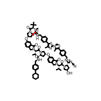 CC(=O)N(C)[C@H](C(=O)N1C[C@H](Oc2ccc3c(c2)C(=O)N([C@H](C(=O)N2C[C@H](Oc4ccc5c(c4)C(=O)N([C@H](C(=O)N4C[C@H](O)C[C@H]4/C(=N\C#N)NCc4ccc(-c6scnc6C)cc4)C(C)C)C5)C[C@H]2C(=O)NCc2ccc(C4CCCCC4)cc2)C(C)C)C3)C[C@H]1C(=O)NCc1ccc(-c2scnc2C)cc1)C(C)(C)C